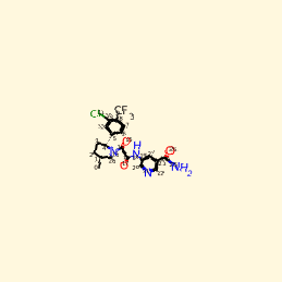 C[C@H]1CC[C@H](c2ccc(C(F)(F)F)c(Cl)c2)N(C(=O)C(=O)Nc2cncc(C(N)=O)c2)C1